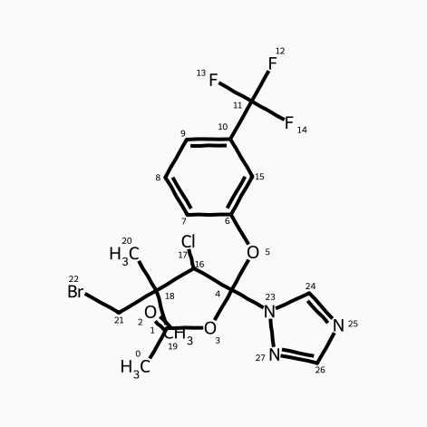 CC(=O)OC(Oc1cccc(C(F)(F)F)c1)(C(Cl)C(C)(C)CBr)n1cncn1